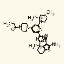 C=CC(=O)N1CCN(c2cc(-c3noc([C@@]4(C)CCCc5sc(N)c(C#N)c54)n3)nc(N3CCN(C)C[C@@H]3C)c2)CC1